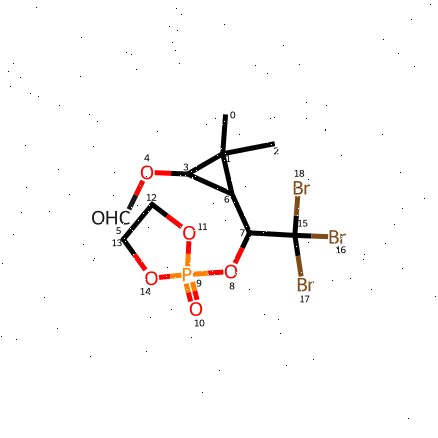 CC1(C)C(OC=O)C1C(OP1(=O)OCCO1)C(Br)(Br)Br